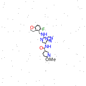 COc1ccc(C(=O)Nc2cnc(NCc3c(F)ccc4c3CCO4)n3cnnc23)cn1